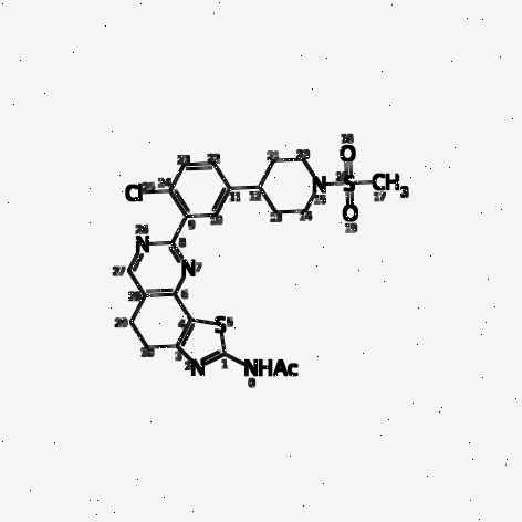 CC(=O)Nc1nc2c(s1)-c1nc(-c3cc(C4CCN(S(C)(=O)=O)CC4)ccc3Cl)ncc1CC2